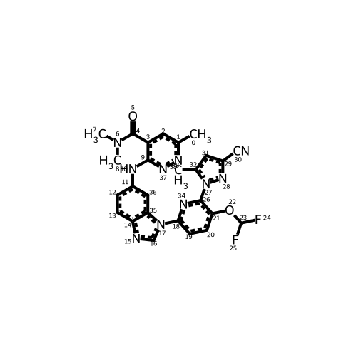 Cc1cc(C(=O)N(C)C)c(Nc2ccc3ncn(-c4ccc(OC(F)F)c(-n5nc(C#N)cc5C)n4)c3c2)nn1